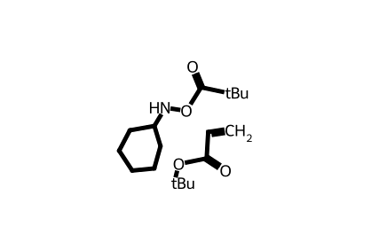 C=CC(=O)OC(C)(C)C.CC(C)(C)C(=O)ONC1CCCCC1